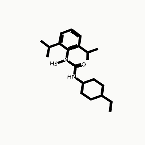 CCC1CCC(NC(=O)N(S)c2c(C(C)C)cccc2C(C)C)CC1